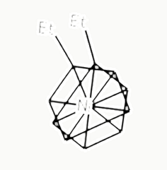 CC[C]12[CH]3[CH]4[CH]5[CH]1[Ni]45321678[CH]2[CH]1[CH]6[C]7(CC)[CH]28